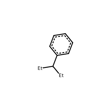 CC[C](CC)c1ccccc1